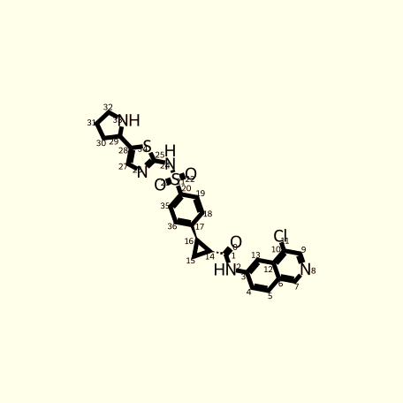 O=C(Nc1ccc2cncc(Cl)c2c1)[C@@H]1C[C@H]1c1ccc(S(=O)(=O)Nc2ncc(C3CCCN3)s2)cc1